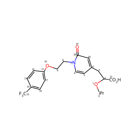 CC(C)OC(Cc1ccn(CCOc2ccc(C(F)(F)F)cc2)c(=O)c1)C(=O)O